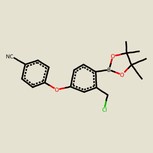 CC1(C)OB(c2ccc(Oc3ccc(C#N)cc3)cc2CCl)OC1(C)C